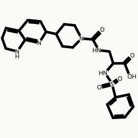 O=C(O)C(CNC(=O)N1CCC(C2C=CC3=CCCNC3=N2)CC1)NS(=O)(=O)c1ccccc1